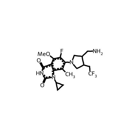 COc1c(F)c(N2CC(CN)C(CC(F)(F)F)C2)c(C)c2c1c(=O)[nH]c(=O)n2C1CC1